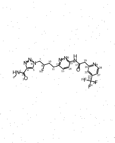 CNC(=O)c1cn(CC(F)CCc2ccc(NC(=O)Cc3cc(C(F)(F)F)ccn3)nn2)nn1